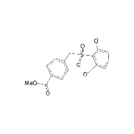 COC(=O)c1ccc(CS(=O)(=O)c2c(Cl)cccc2Cl)cc1